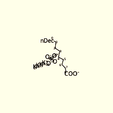 CCCCCCCCCCCCCCCCCC(=O)[O-].O=P([O-])([O-])[O-].[K+].[K+].[K+].[K+]